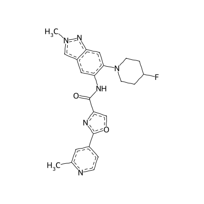 Cc1cc(-c2nc(C(=O)Nc3cc4cn(C)nc4cc3N3CCC(F)CC3)co2)ccn1